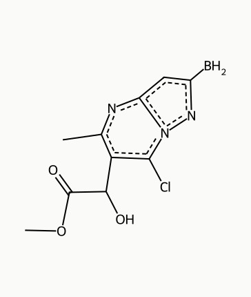 Bc1cc2nc(C)c(C(O)C(=O)OC)c(Cl)n2n1